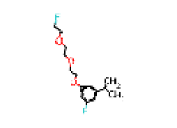 C=C(C)c1cc(F)cc(OCCOCCOCCF)c1